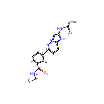 CNC(=O)Nc1cn2nc(-c3cccc(C(=O)NCC(C)C)c3)ccc2n1